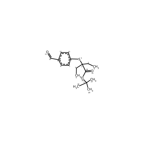 CCC(CC)(Sc1ccc(C=O)cc1)C(=O)OC(C)(C)C